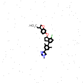 Cc1cc(-c2cn(C)cn2)cc(C)c1-c1ccc(F)c2c1CC[C@H]2Oc1ccc2c(c1)OCC2CC(=O)O